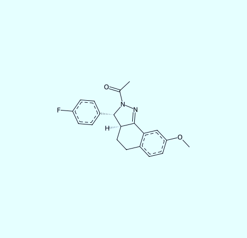 COc1ccc2c(c1)C1=NN(C(C)=O)[C@@H](c3ccc(F)cc3)[C@@H]1CC2